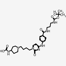 CC(C)(C)OC(=O)NCCCNC(=O)c1ccc(Nc2ccn(CCCCN3CCC(NC(=O)O)CC3)c(=O)n2)cc1